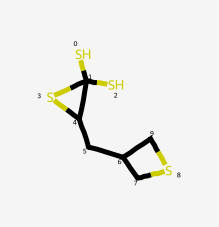 SC1(S)SC1CC1CSC1